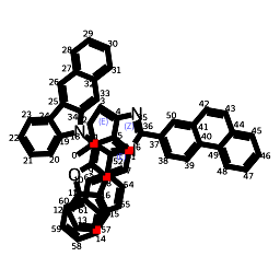 CC1C/C=C(c2ccc3c(oc4ccccc43)c2-n2c3ccccc3c3cc4ccccc4cc32)/N=C(c2ccc3c(ccc4ccccc43)c2)\N=C/1c1ccc2ccccc2c1